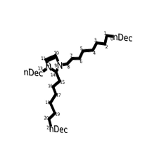 CCCCCCCCCCCCCCCCCCN1C=CN(CCCCCCCCCC)C1CCCCCCCCCCCCCCCC